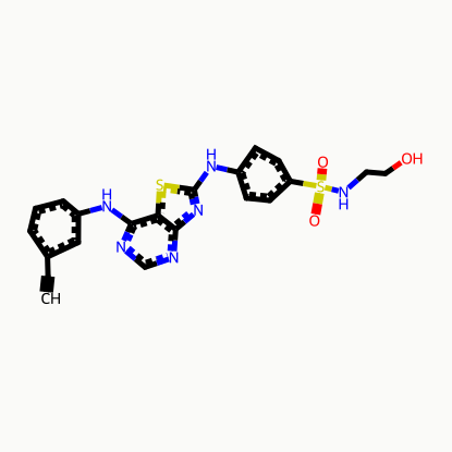 C#Cc1cccc(Nc2ncnc3nc(Nc4ccc(S(=O)(=O)NCCO)cc4)sc23)c1